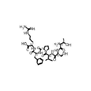 CC(C)[C@H](NC(=O)[C@H](CO)NC(=O)[C@@H](N)[C@@H](C)O)C(=O)N1CCC[C@H]1C(=O)N[C@@H](Cc1ccccc1)C(=O)N[C@@H](CCCNC(=N)N)C(=O)O